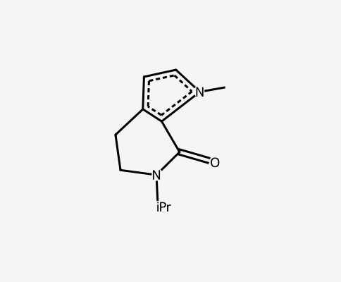 CC(C)N1CCc2ccn(C)c2C1=O